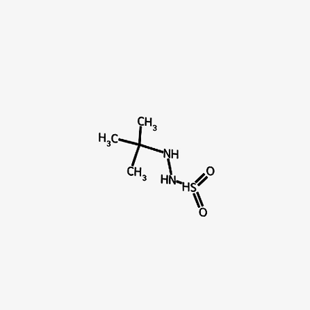 CC(C)(C)NN[SH](=O)=O